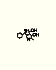 Cc1ncc(C(S)c2ccccc2)c(CO)c1O